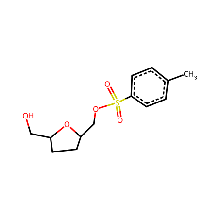 Cc1ccc(S(=O)(=O)OCC2CCC(CO)O2)cc1